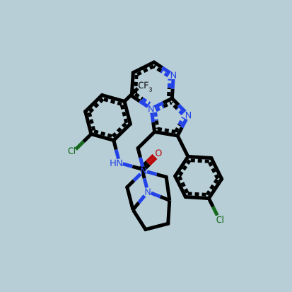 O=C(Nc1cc(C(F)(F)F)ccc1Cl)N1C2CCC1CN(Cc1c(-c3ccc(Cl)cc3)nc3ncccn13)C2